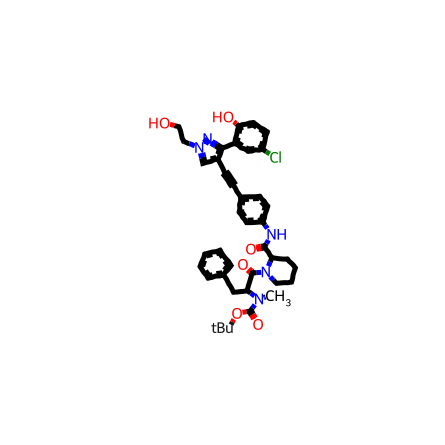 CN(C(=O)OC(C)(C)C)C(Cc1ccccc1)C(=O)N1CCCCC1C(=O)Nc1ccc(C#Cc2cn(CCO)nc2-c2cc(Cl)ccc2O)cc1